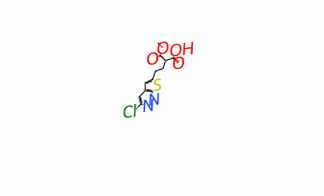 COC(=O)C(CCc1cc2cc(Cl)nnc2s1)C(=O)O